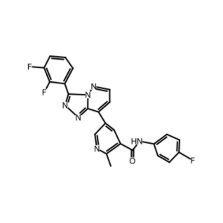 Cc1ncc(-c2ccnn3c(-c4cccc(F)c4F)nnc23)cc1C(=O)Nc1ccc(F)cc1